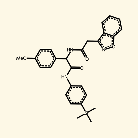 COc1ccc(C(NC(=O)Cc2noc3ccccc23)C(=O)Nc2ccc([Si](C)(C)C)cc2)cc1